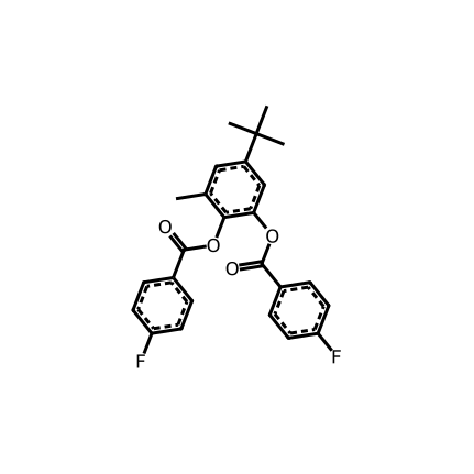 Cc1cc(C(C)(C)C)cc(OC(=O)c2ccc(F)cc2)c1OC(=O)c1ccc(F)cc1